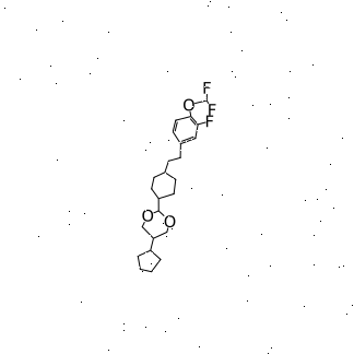 Fc1cc(CCC2CCC(C3OCC(C4CCCC4)CO3)CC2)ccc1OC(F)F